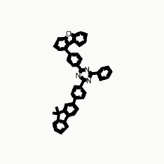 CC1(C)c2ccccc2-c2ccc(-c3ccc(-c4nc(-c5ccccc5)nc(-c5ccc(-c6cccc7oc8ccccc8c67)cc5)n4)cc3)cc21